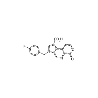 O=C(O)c1cn(Cc2ccc(F)cc2)c2cnc3c(=O)occc3c12